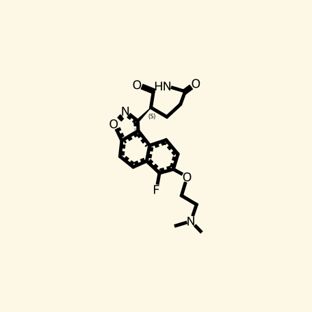 CN(C)CCOc1ccc2c(ccc3onc([C@@H]4CCC(=O)NC4=O)c32)c1F